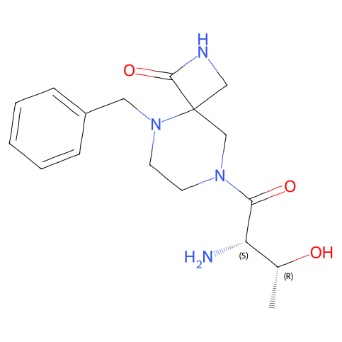 C[C@@H](O)[C@H](N)C(=O)N1CCN(Cc2ccccc2)C2(CNC2=O)C1